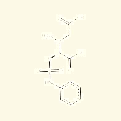 NC(CC(=O)O)[C@H](NS(=O)(=O)Nc1ccccc1)C(=O)O